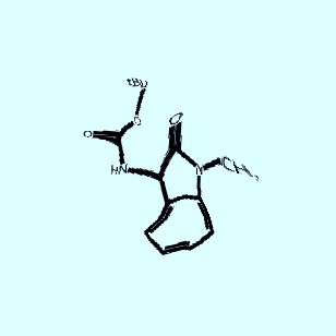 CN1C(=O)C(NC(=O)OC(C)(C)C)c2ccccc21